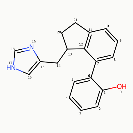 Oc1ccccc1-c1cccc2c1C(Cc1c[nH]cn1)CC2